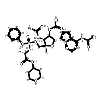 CCC(=O)Nc1ncnn2c([C@@H]3O[C@](C)(COP(=O)(N[C@@H](C)C(=O)OC4CCOCC4)Oc4ccccc4)[C@@H](OC(=O)CC)[C@H]3OC(=O)CC)ccc12